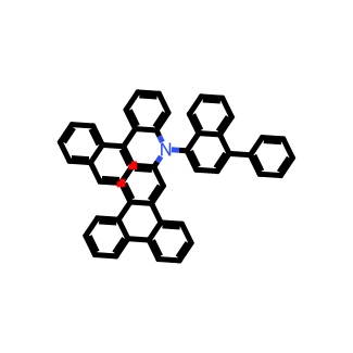 c1ccc(-c2ccc(N(c3ccc4c5ccccc5c5ccccc5c4c3)c3ccccc3-c3cccc4ccccc34)c3ccccc23)cc1